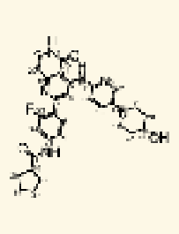 O=C(Nc1ccc(-c2cc(Nc3ccc(N4CCC(O)CC4)cn3)c3c(=O)[nH]ccc3n2)c(F)c1)C1CCCC1